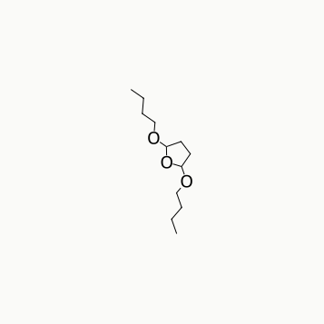 CCCCOC1CCC(OCCCC)O1